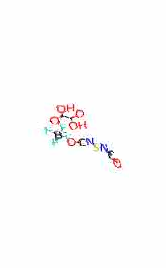 F[B-](F)(F)F.O=C(O)C(=O)O.O=C=NSN=C=O